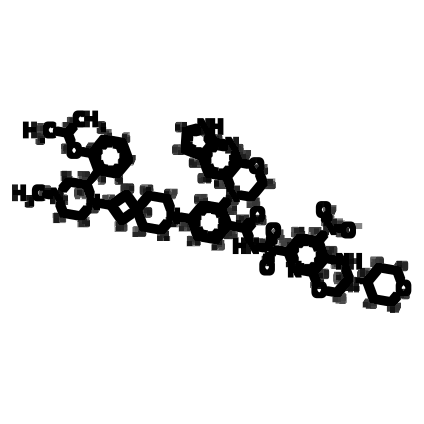 CC(C)Oc1ccccc1[C@@H]1CN(C)CCN1C1CC2(CCN(c3ccc(C(=O)NS(=O)(=O)c4cc([N+](=O)[O-])c5c(n4)OC[C@@H](C4CCOCC4)N5)c(N4CCOc5nc6[nH]ccc6cc54)c3)CC2)C1